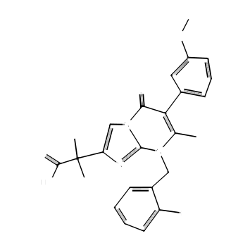 COc1cccc(-c2c(C)n(Cc3ccccc3F)c3nc(C(C)(C)C(=O)O)cn3c2=O)c1